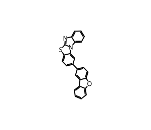 c1ccc2c(c1)nc1sc3ccc(-c4ccc5oc6ccccc6c5c4)cc3n12